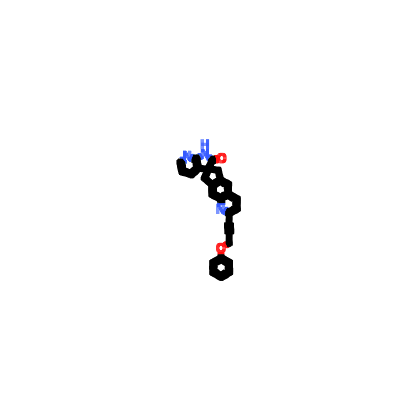 O=C1Nc2ncccc2C12Cc1cc3ccc(C#CCOc4ccccc4)nc3cc1C2